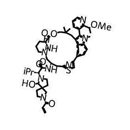 C=CC(=O)N1CCC2(CCN([C@H](C(=O)N[C@H]3Cc4nc(cs4)-c4ccc5c(c4)c(c(-c4cccnc4[C@H](C)OC)n5C)CC(C)(C)COC(=O)[C@@H]4CCCN(N4)C3=O)C(C)C)C2O)C1